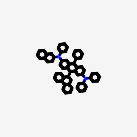 c1ccc(-c2c3cc(N(c4ccccc4)c4ccc5ccccc5c4)ccc3c(-c3cc4ccccc4c4ccccc34)c3cc(N(c4ccccc4)c4ccccc4)ccc23)cc1